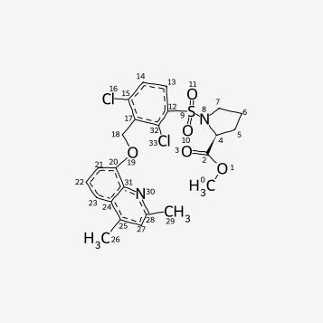 COC(=O)[C@@H]1CCCN1S(=O)(=O)c1ccc(Cl)c(COc2cccc3c(C)cc(C)nc23)c1Cl